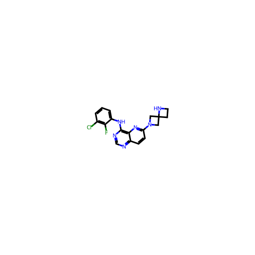 Fc1c(Cl)cccc1Nc1ncnc2ccc(N3CC4(CCN4)C3)nc12